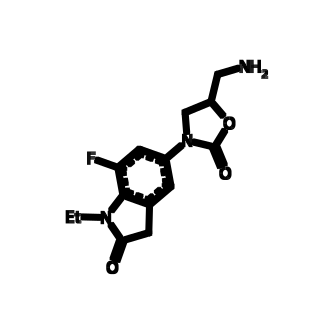 CCN1C(=O)Cc2cc(N3CC(CN)OC3=O)cc(F)c21